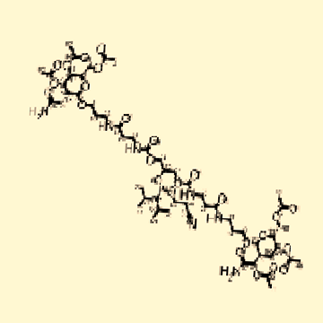 CC(=O)OC[C@H]1O[C@@H](OCCCNC(=O)CCNC(=O)OCC(COC(=O)NCCC(=O)NCCCO[C@@H]2O[C@H](COC(C)=O)[C@H](OC(C)=O)[C@H](OC(C)=O)[C@H]2CC(N)=O)OP(OCCC#N)N(C(C)C)C(C)C)[C@H](CC(N)=O)[C@@H](OC(C)=O)[C@H]1OC(C)=O